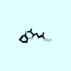 CC(=CCC(O)C(C)Oc1ccccc1)C(=O)O